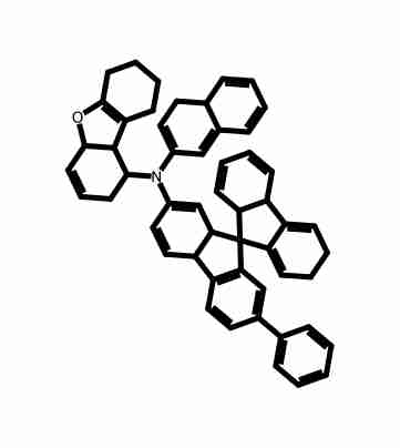 C1=CC2=CC(N(C3=CC4C(C=C3)c3ccc(-c5ccccc5)cc3C43C4=CCCC=C4C4C=CC=CC43)C3CC=CC4OC5=C(CCCC5)C43)=CCC2C=C1